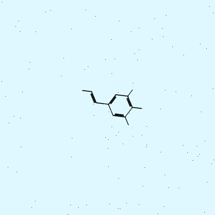 O=[C]/C=C/c1cc(Cl)c(Cl)c(Cl)c1